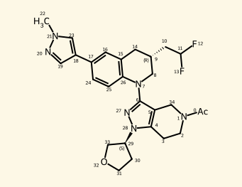 CC(=O)N1CCc2c(c(N3C[C@@H](CC(F)F)Cc4cc(-c5cnn(C)c5)ccc43)nn2[C@H]2CCOC2)C1